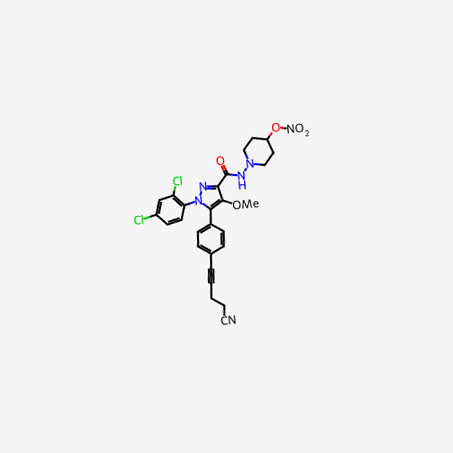 COc1c(C(=O)NN2CCC(O[N+](=O)[O-])CC2)nn(-c2ccc(Cl)cc2Cl)c1-c1ccc(C#CCCC#N)cc1